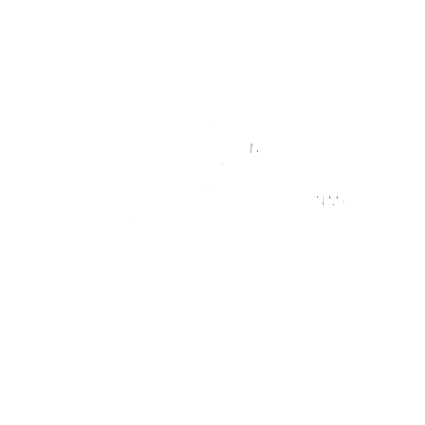 CNCCN(C)C(=O)OCC1c2ccccc2-c2ccccc21